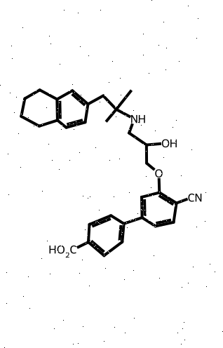 CC(C)(Cc1ccc2c(c1)CCCC2)NCC(O)COc1cc(-c2ccc(C(=O)O)cc2)ccc1C#N